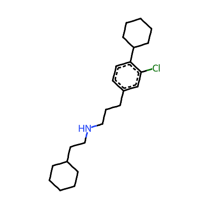 Clc1cc(CCCNCCC2CCCCC2)ccc1C1CCCCC1